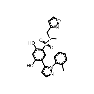 Cc1ccccc1-n1nccc1-c1cc(S(=O)(=O)N(C)Cc2ccon2)c(O)cc1O